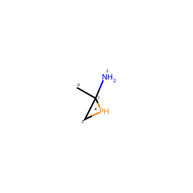 CC1(N)CP1